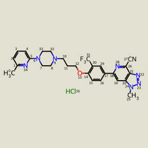 Cc1cccc(N2CCN(CCCOc3ccc(-c4cc5c(nnn5C)c(C#N)n4)cc3C(F)(F)F)CC2)n1.Cl